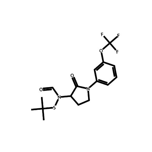 CC(C)(C)SN(C=O)C1CCN(c2cccc(OC(F)(F)F)c2)C1=O